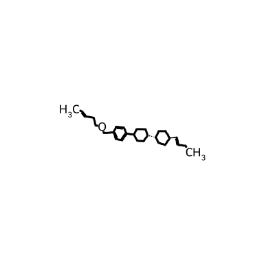 CC=CCCOCc1ccc(C2CCC([C@H]3CC[C@H](/C=C/CC)CC3)CC2)cc1